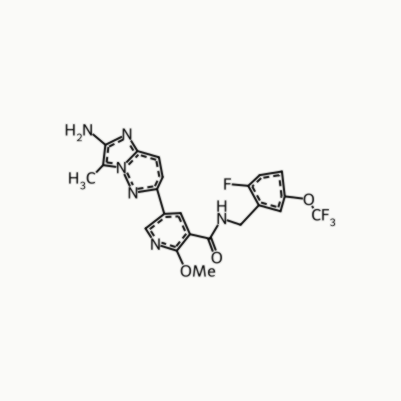 COc1ncc(-c2ccc3nc(N)c(C)n3n2)cc1C(=O)NCc1cc(OC(F)(F)F)ccc1F